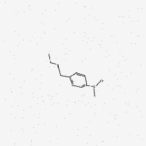 [CH2]CCCc1ccc([S+](C)[O-])cc1